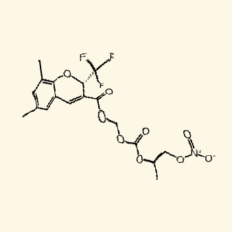 Cc1cc(C)c2c(c1)C=C(C(=O)OCOC(=O)OC(C)CO[N+](=O)[O-])[C@@H](C(F)(F)F)O2